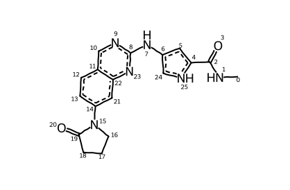 CNC(=O)c1cc(Nc2ncc3ccc(N4CCCC4=O)cc3n2)c[nH]1